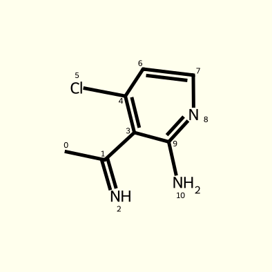 CC(=N)c1c(Cl)ccnc1N